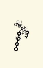 CC(C)Cc1ccc(C(=O)N[C@@H](Cc2ccc(-c3ncc(-c4ccc(C5CCCCC5)cc4)cn3)cc2)C(=O)N2CC(C(=O)O)C2)s1